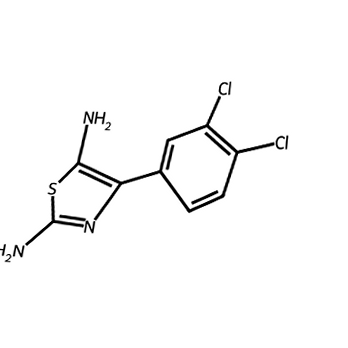 Nc1nc(-c2ccc(Cl)c(Cl)c2)c(N)s1